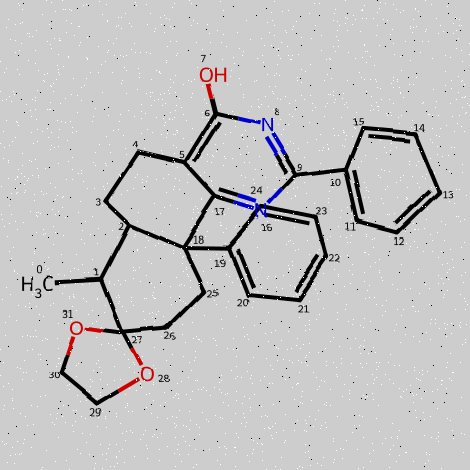 CC1C2CCc3c(O)nc(-c4ccccc4)nc3C2(c2ccccc2)CCC12OCCO2